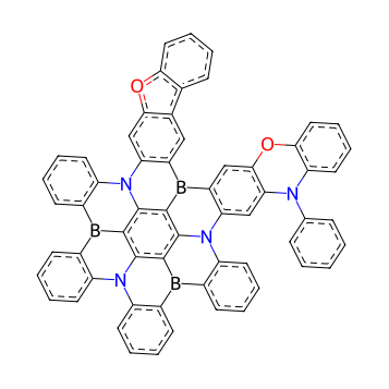 c1ccc(N2c3ccccc3Oc3cc4c(cc32)N2c3ccccc3B3c5ccccc5N5c6ccccc6B6c7ccccc7N7c8cc9oc%10ccccc%10c9cc8B4c4c2c3c5c6c47)cc1